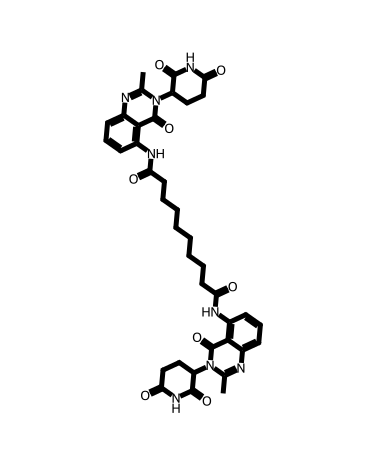 Cc1nc2cccc(NC(=O)CCCCCCCCC(=O)Nc3cccc4nc(C)n(C5CCC(=O)NC5=O)c(=O)c34)c2c(=O)n1C1CCC(=O)NC1=O